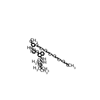 COCCOCCOCCOCCOCCOCCOCCOc1cc(Nc2nccc(Oc3ccc(NC(=O)Nc4cc(C(C)(C)C)nn4C)c4ccccc34)n2)cc(OC)c1